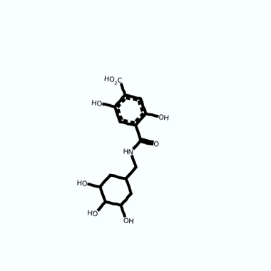 O=C(O)c1cc(O)c(C(=O)NCC2CC(O)C(O)C(O)C2)cc1O